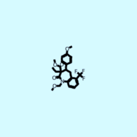 CCC1(C(=O)OC)C(=O)N(COC)c2cccc(C(F)(F)F)c2CC1c1ccc(OC)cc1